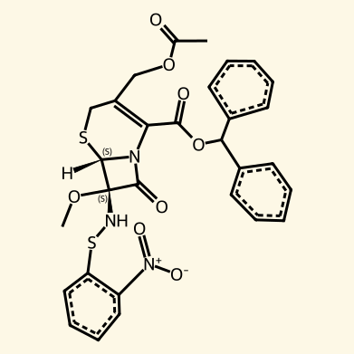 CO[C@@]1(NSc2ccccc2[N+](=O)[O-])C(=O)N2C(C(=O)OC(c3ccccc3)c3ccccc3)=C(COC(C)=O)CS[C@H]21